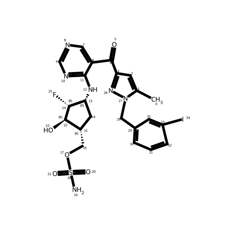 Cc1cc(C(=O)c2cncnc2N[C@@H]2C[C@H](COS(N)(=O)=O)[C@@H](O)[C@@H]2F)nn1Cc1cccc(I)c1